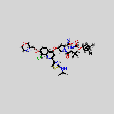 CC(C)Nc1nc(-c2cc(OC3C[C@@H](C(N)=O)N(C(=O)[C@@H](NC(=O)O[C@H]4C[C@H]5C6C4[C@H]65)C(C)(C)C)C3)c3ccc(OC[C@@H]4COCCN4)c(Cl)c3n2)cs1